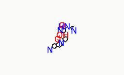 CN(C)c1ccc2c(=O)n(-c3cccc(-c4cc(Nc5ccn(C)c5)c(=O)n(C)c4)c3CO)ccc2c1